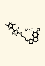 COc1cc2c(cc1Cl)CCC21CCN(CCCSc2nnc(-c3sc(C)nc3C)n2C)C1